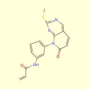 C=CC(=O)Nc1cccc(-n2c(=O)ccc3cnc(SC)nc32)c1